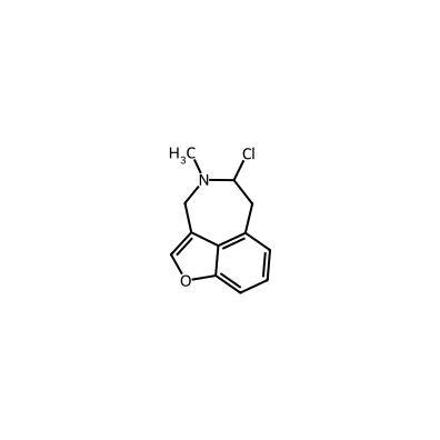 CN1Cc2coc3cccc(c23)CC1Cl